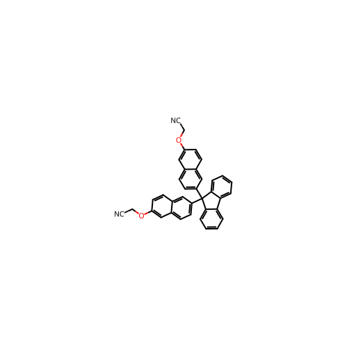 N#CCOc1ccc2cc(C3(c4ccc5cc(OCC#N)ccc5c4)c4ccccc4-c4ccccc43)ccc2c1